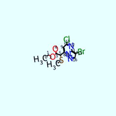 CCOC(=O)C(SC)c1cc(Cl)nc2c(Br)cnn12